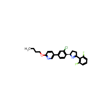 CCCCOc1ccc(-c2ccc([C@H]3CCC(c4c(F)cccc4F)=N3)c(Cl)c2)cn1